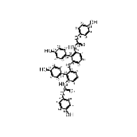 O=C(Nc1cccc(Sc2cccc(NC(=O)Oc3ccc(O)cc3)c2-c2ccc(O)cc2)c1-c1ccc(O)cc1)Oc1ccc(O)cc1